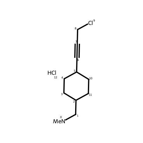 CNCC1CCC(C#CCCl)CC1.Cl